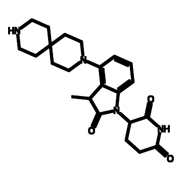 CC1C(=O)N(C2CCC(=O)NC2=O)c2cccc(N3CCC4(CCNCC4)CC3)c21